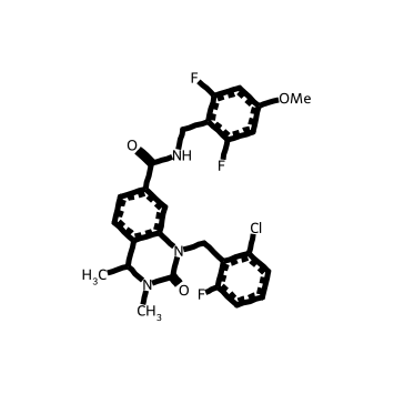 COc1cc(F)c(CNC(=O)c2ccc3c(c2)N(Cc2c(F)cccc2Cl)C(=O)N(C)C3C)c(F)c1